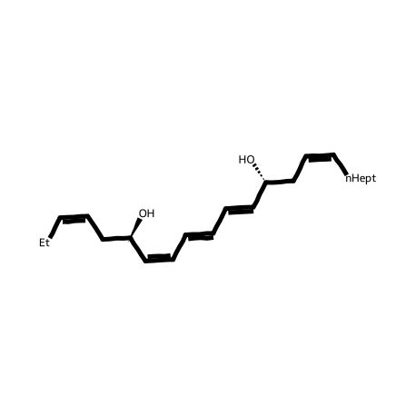 CC/C=C\C[C@@H](O)\C=C/C=C/C=C/[C@H](O)C/C=C\CCCCCCC